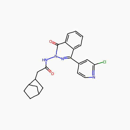 O=C(CC1CC2CCC1C2)Nn1nc(-c2ccnc(Cl)c2)c2ccccc2c1=O